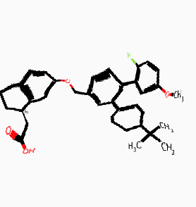 COc1ccc(F)c(-c2ccc(COc3ccc4c(c3)[C@@H](CC(=O)O)CC4)cc2C2=CCC(C(C)(C)C)CC2)c1